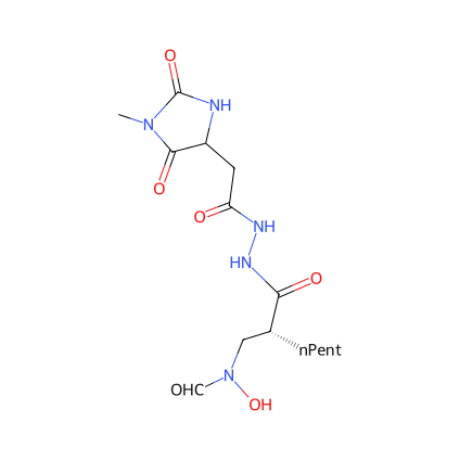 CCCCC[C@H](CN(O)C=O)C(=O)NNC(=O)CC1NC(=O)N(C)C1=O